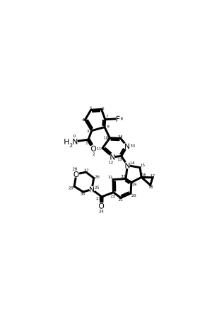 NC(=O)c1cccc(F)c1-c1cnc(N2CC3(CC3)c3ccc(C(=O)N4CCOCC4)cc32)nc1